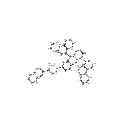 c1ccc2ncc(-c3ccc(-c4ccc5c(-c6cc7ccccc7c7ccccc67)c6ccccc6c(-c6cc7ccccc7c7ccccc67)c5c4)cn3)cc2c1